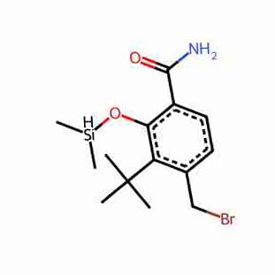 C[SiH](C)Oc1c(C(N)=O)ccc(CBr)c1C(C)(C)C